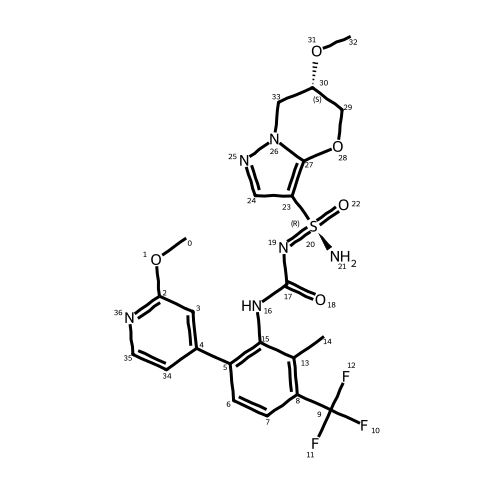 COc1cc(-c2ccc(C(F)(F)F)c(C)c2NC(=O)N=[S@@](N)(=O)c2cnn3c2OC[C@@H](OC)C3)ccn1